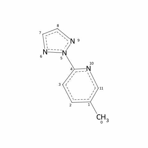 Cc1ccc(-n2nccn2)nc1